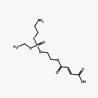 CCOP(=O)(OCCOC(=O)/C=C/C(=O)O)SCCN